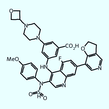 COc1ccc(N(c2cnc3cc(-c4cncc5c4OCC5)cc(F)c3c2Nc2cc(C(=O)O)cc(N3CCN(C4COC4)CC3)c2)[SH](=O)=O)cc1